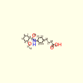 CCOc1ccccc1C(=O)Nc1ccc(CCCC(=O)O)cc1